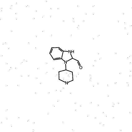 O=CC1Nc2ccccc2N1C1CC[N]CC1